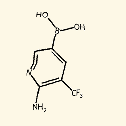 Nc1ncc(B(O)O)cc1C(F)(F)F